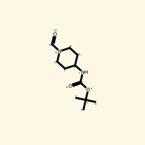 CC(C)(C)OC(=O)NC1CCN([C]=O)CC1